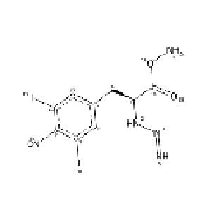 N=NN[C@@H](Cc1cc(I)c(N=O)c(I)c1)C(=O)ON